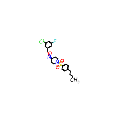 CCCCc1ccc(S(=O)(=O)N2CCC(=NOCc3cc(F)cc(Cl)c3)CC2)cc1